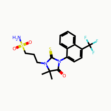 CC1(C)C(=O)N(c2ccc(C(F)(F)F)c3ccccc23)C(=S)N1CCCS(N)(=O)=O